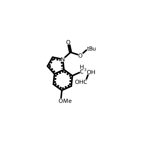 COc1cc(C)c2c(ccn2C(=O)OC(C)(C)C)c1.O=CO